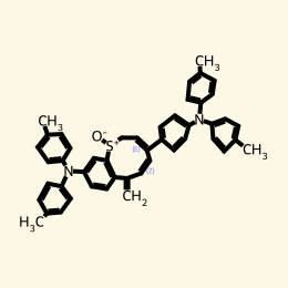 C=C1/C=C\C(c2ccc(N(c3ccc(C)cc3)c3ccc(C)cc3)cc2)=C/C[S+]([O-])c2cc(N(c3ccc(C)cc3)c3ccc(C)cc3)ccc21